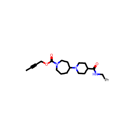 CC#CCOC(=O)N1CCCC(N2CCC(C(=O)NCC(C)C)CC2)CC1